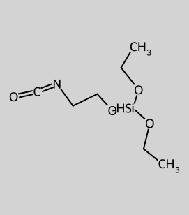 CCO[SiH](OCC)OCCN=C=O